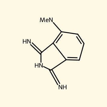 CNc1cccc2c1C(=N)NC2=N